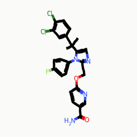 CC(C)(c1ccc(Cl)c(Cl)c1)c1cnc(COc2ccc(C(N)=O)cn2)n1-c1ccc(F)cc1